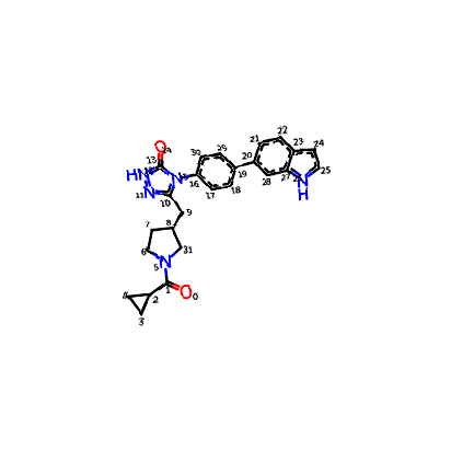 O=C(C1CC1)N1CC[C@@H](Cc2n[nH]c(=O)n2-c2ccc(-c3ccc4cc[nH]c4c3)cc2)C1